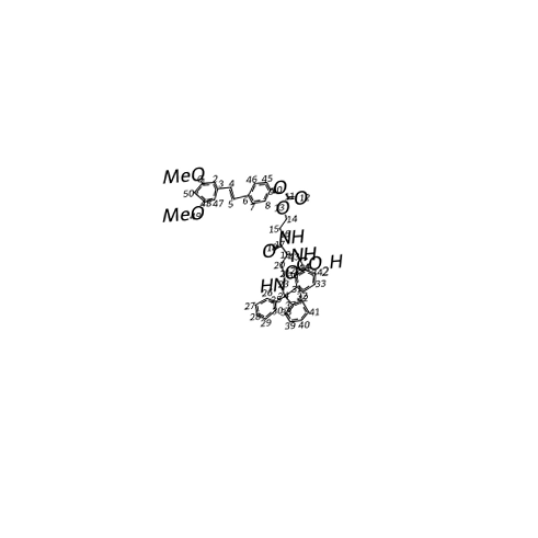 COc1cc(C=Cc2ccc(OC(=O)OCCNC(=O)C(CC(=O)NC(c3ccccc3)(c3ccccc3)c3ccccc3)NC(=O)O)cc2)cc(OC)c1